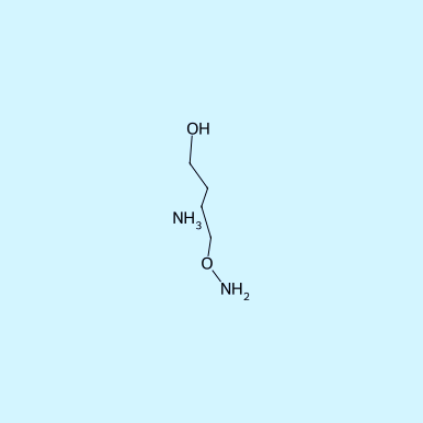 N.NOCCCCO